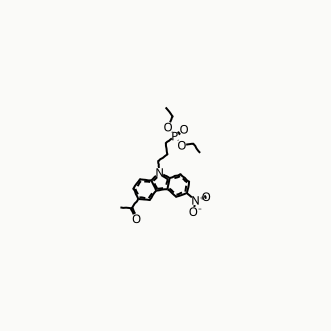 CCOP(=O)(CCCn1c2ccc(C(C)=O)cc2c2cc([N+](=O)[O-])ccc21)OCC